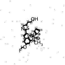 CN(c1cc(OCF)cc2cc(C3=NCC(CCO)S3)[nH]c12)S(=O)(=O)c1cccs1